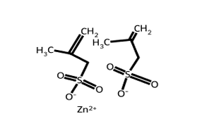 C=C(C)CS(=O)(=O)[O-].C=C(C)CS(=O)(=O)[O-].[Zn+2]